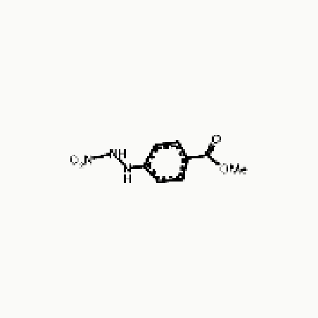 COC(=O)c1ccc(NN[N+](=O)[O-])cc1